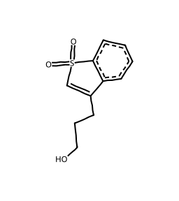 O=S1(=O)C=C(CCCO)c2ccccc21